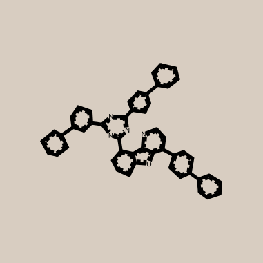 c1ccc(-c2ccc(-c3nc(-c4cccc(-c5ccccc5)c4)nc(-c4cccc5oc6c(-c7ccc(-c8ccccc8)cc7)ccnc6c45)n3)cc2)cc1